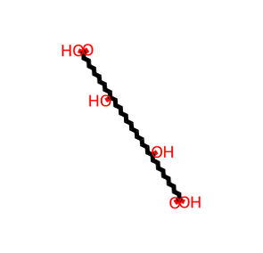 O=C(O)CCCCCCCCCCC(O)CCCCCCCCCCCCCCC(O)CCCCCCCCCCC(=O)O